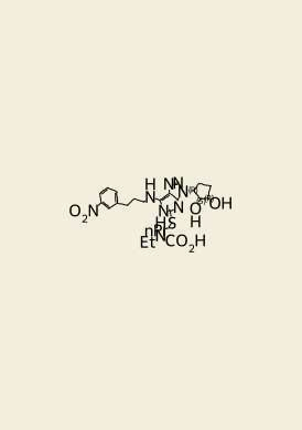 CCCSc1nc(NCCCc2cccc([N+](=O)[O-])c2)c2nnn([C@@H]3CC[C@@H](O)[C@H]3O)c2n1.CCNC(=O)O